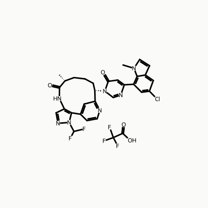 C[C@@H]1CCC[C@H](n2cnc(-c3cc(Cl)cc4ccn(C)c34)cc2=O)c2cc(ccn2)-c2c(cnn2C(F)F)NC1=O.O=C(O)C(F)(F)F